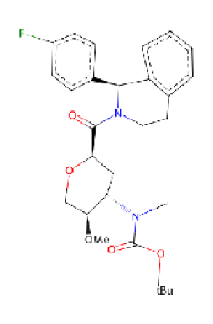 CO[C@H]1CO[C@@H](C(=O)N2CCc3ccccc3[C@@H]2c2ccc(F)cc2)C[C@@H]1N(C)C(=O)OC(C)(C)C